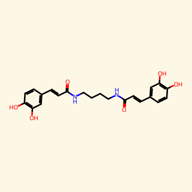 O=C(C=Cc1ccc(O)c(O)c1)NCCCCNC(=O)C=Cc1ccc(O)c(O)c1